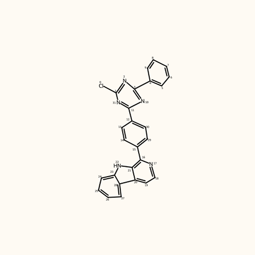 Clc1nc(-c2ccccc2)nc(-c2ccc(-c3nccc4c3[nH]c3ccccc34)cc2)n1